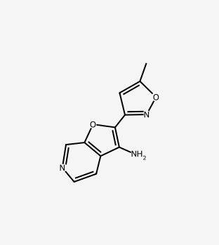 Cc1cc(-c2oc3cnccc3c2N)no1